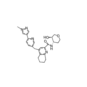 Cn1cc(-c2ccc(Cc3cc(C(=O)N[C@H]4CCOC[C@@H]4O)nc4c3CCCC4)cn2)cn1